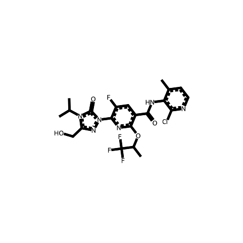 Cc1ccnc(Cl)c1NC(=O)c1cc(F)c(-n2nc(CO)n(C(C)C)c2=O)nc1OC(C)C(F)(F)F